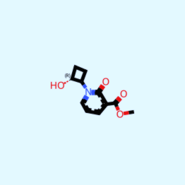 COC(=O)c1cccn(C2CC[C@H]2O)c1=O